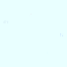 CC(C)c1cc2c(Cl)nccc2o1